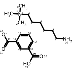 C[N+](C)(C)CCCCCCN.O=C([O-])c1cccc(C(=O)O)c1